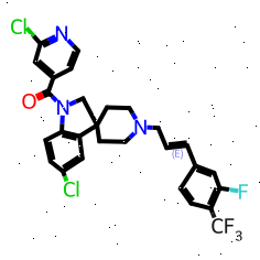 O=C(c1ccnc(Cl)c1)N1CC2(CCN(C/C=C/c3ccc(C(F)(F)F)c(F)c3)CC2)c2cc(Cl)ccc21